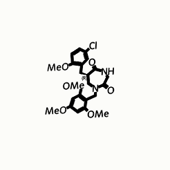 COc1cc(OC)c(CN2C[C@@H](Cc3cc(Cl)ccc3OC)C(=O)NCC2=O)c(OC)c1